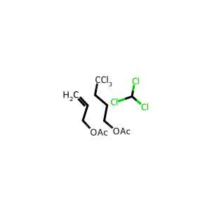 C=CCOC(C)=O.CC(=O)OCCCC(Cl)(Cl)Cl.ClC(Cl)Cl